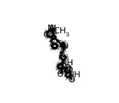 Cc1nnc2n1-c1sc(C#Cc3cnn(CCN4CCC(Nc5cccc6c5C(=O)N(C5CCC(=O)NC5=O)C6=O)CC4)c3)c(Cc3ccccc3)c1COC2